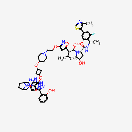 Cc1ncsc1-c1ccc([C@H](C)NC(=O)[C@@H]2C[C@@H](O)CN2C(O)[C@H](c2cc(OCCN3CCC(O[C@H]4C[C@H](Oc5cc(N6C7CCC6CN(c6cc(-c8ccccc8O)nnc6N)C7)ccn5)C4)CC3)no2)C(C)C)c(F)c1